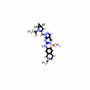 COc1cc2c(cc1Nc1ncc3cnn(C[C@@H]4C[C@@H]5C[C@@H]5N4C(C)=O)c3n1)CN(C)CC2